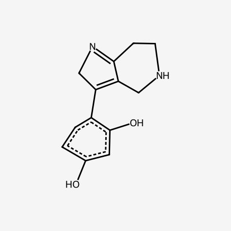 Oc1ccc(C2=C3CNCCC3=NC2)c(O)c1